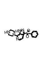 O=S(=O)(c1ccccc1)c1n[nH]c2c(N3CCNCC3)nccc12